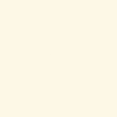 S=C(OCc1ccco1)c1ccccc1